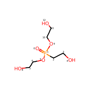 O=P(CCO)(OCCO)OCCO